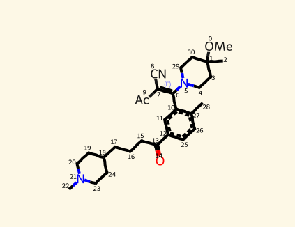 COC1(C)CCN(/C(=C(\C#N)C(C)=O)c2cc(C(=O)CCCC3CCN(C)CC3)ccc2C)CC1